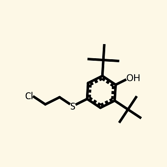 CC(C)(C)c1cc(SCCCl)cc(C(C)(C)C)c1O